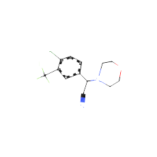 N#CC(c1ccc(Cl)c(C(F)(F)F)c1)N1CCOCC1